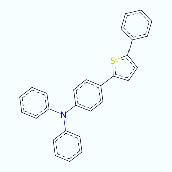 c1ccc(-c2ccc(-c3ccc(N(c4ccccc4)c4ccccc4)cc3)s2)cc1